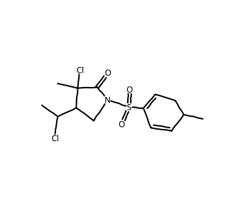 CC1C=CC(S(=O)(=O)N2CC(C(C)Cl)C(C)(Cl)C2=O)=CC1